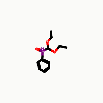 CCOC(OCC)[PH](=O)c1ccccc1